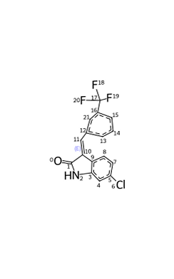 O=C1Nc2cc(Cl)ccc2/C1=C\c1cccc(C(F)(F)F)c1